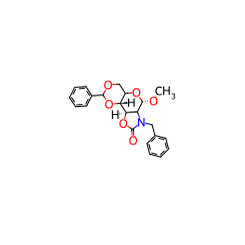 CO[C@H]1OC2COC(c3ccccc3)O[C@H]2[C@@H]2OC(=O)N(Cc3ccccc3)C12